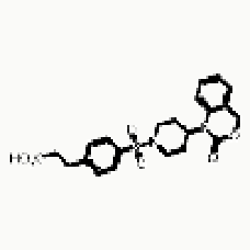 O=C(O)CCc1ccc(S(=O)(=O)N2CCC(N3C(=O)OCc4ccccc43)CC2)cc1